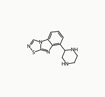 c1cc(C2CNCCN2)c2nc3sncn3c2c1